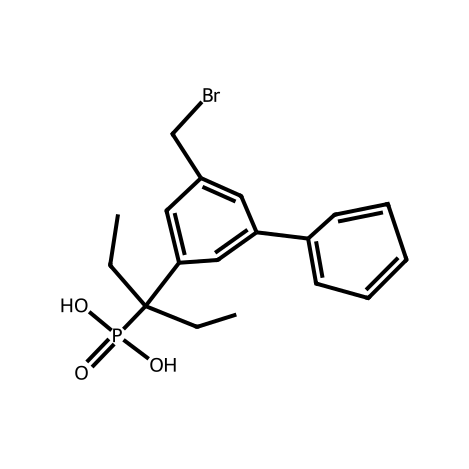 CCC(CC)(c1cc(CBr)cc(-c2ccccc2)c1)P(=O)(O)O